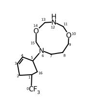 FC(F)(F)C1CC=CC(N2CCCOCNCOC2)C1